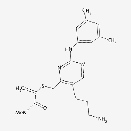 C=C(SCc1nc(Nc2cc(C)cc(C)c2)ncc1CCCN)C(=O)NC